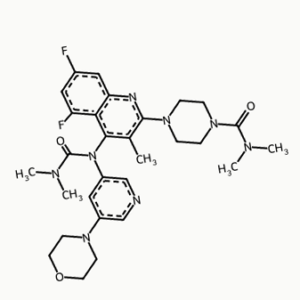 Cc1c(N2CCN(C(=O)N(C)C)CC2)nc2cc(F)cc(F)c2c1N(C(=O)N(C)C)c1cncc(N2CCOCC2)c1